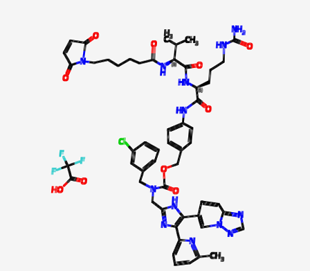 Cc1cccc(-c2nc(CN(Cc3cccc(Cl)c3)C(=O)OCc3ccc(NC(=O)[C@H](CCCNC(N)=O)NC(=O)[C@@H](NC(=O)CCCCCN4C(=O)C=CC4=O)C(C)C)cc3)[nH]c2-c2ccc3ncnn3c2)n1.O=C(O)C(F)(F)F